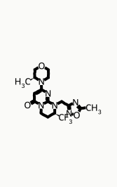 Cc1nc(CN2c3nc(N4CCOC[C@H]4C)cc(=O)n3CC[C@H]2C(F)(F)F)no1